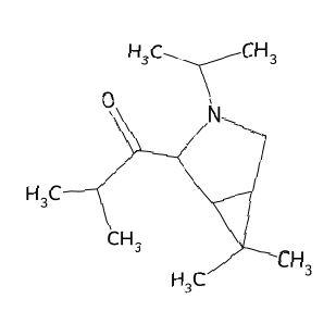 CC(C)C(=O)C1C2C(CN1C(C)C)C2(C)C